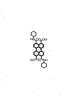 O=C(O)c1ccc2c3ccc(C(=O)NC4CCCCC4)c4c(C(=O)O)ccc(c5ccc(C(=O)BC6CCCCC6)c1c52)c43